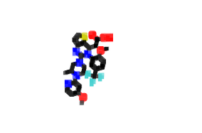 COc1ccnc(N2CCN(C3=Nc4ccsc4C(CC(=O)O)N3c3cc(C(F)(F)F)ccc3OC)CC2C)c1